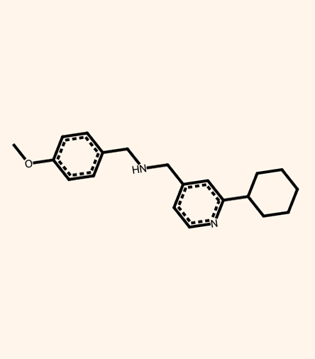 COc1ccc(CNCc2ccnc(C3CCCCC3)c2)cc1